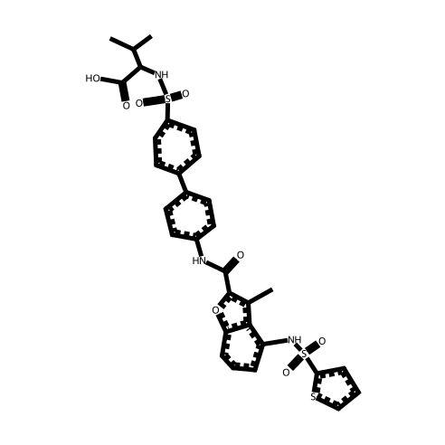 Cc1c(C(=O)Nc2ccc(-c3ccc(S(=O)(=O)NC(C(=O)O)C(C)C)cc3)cc2)oc2cccc(NS(=O)(=O)c3cccs3)c12